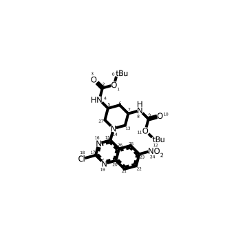 CC(C)(C)OC(=O)NC1CC(NC(=O)OC(C)(C)C)CN(c2nc(Cl)nc3ccc([N+](=O)[O-])cc23)C1